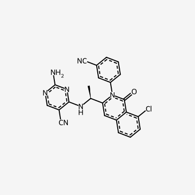 C[C@H](Nc1nc(N)ncc1C#N)c1cc2cccc(Cl)c2c(=O)n1-c1cccc(C#N)c1